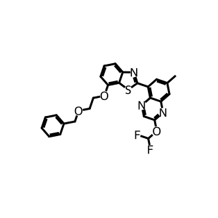 Cc1cc(-c2nc3cccc(OCCOCc4ccccc4)c3s2)c2ncc(OC(F)F)nc2c1